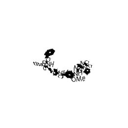 CC[C@@H]1C(=O)N(C)c2cnc(Nc3ccc(C(=O)NC4CCN(CCC[C@H](NC(=O)OCc5ccccc5)C(=O)OC(C)(C)C)CC4)cc3OC)nc2N1C1CCCC1